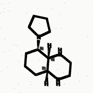 C1C[C@@H]2NCCN[C@@H]2[C@@H](N2CCCC2)C1